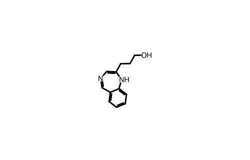 OCCCC1=CN=Cc2ccccc2N1